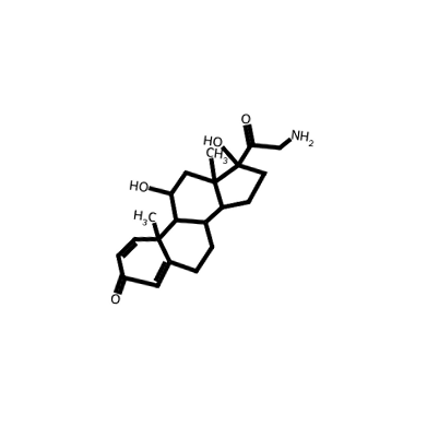 CC12C=CC(=O)C=C1CCC1C2C(O)CC2(C)C1CCC2(O)C(=O)CN